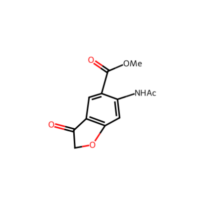 COC(=O)c1cc2c(cc1NC(C)=O)OCC2=O